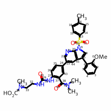 COc1ccccc1-c1cn(S(=O)(=O)c2ccc(C)cc2)c2ncc(-c3ccc(NC(=O)NCCN(C)C(=O)O)c(C(=O)N(C)C)c3)cc12